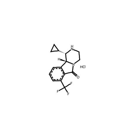 Cl.O=C1c2c(cccc2C(F)(F)F)[C@@H]2[C@H](C3CC3)NCCN12